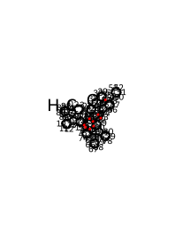 CC12C=CC=CC1C1(c3ccccc3-c3ccc(N(c4ccc5c(c4)C4(c6ccccc6O5)c5cc(C6CCCCC6)ccc5-c5ccc(C6CCCCC6)cc54)c4ccc5c(c4)C(c4ccccc4)(c4ccccc4)c4ccccc4-5)cc31)c1ccccc12